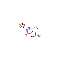 Bc1nn(CC(=O)OC)c(=O)c2ccc(Br)cc12